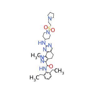 CCc1cccc(CC)c1NC(=O)c1nn(C)c2c1CCc1cnc(NC3CCN(S(=O)(=O)CCN4CCCC4)CC3)nc1-2